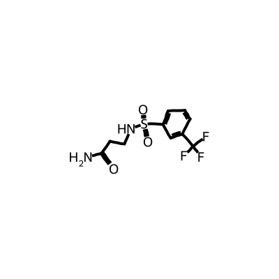 NC(=O)CCNS(=O)(=O)c1cccc(C(F)(F)F)c1